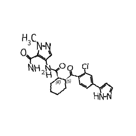 Cn1ncc(NC(=O)[C@@H]2CCCC[C@@H]2C(=O)c2ccc(-c3ccn[nH]3)cc2Cl)c1C(N)=O